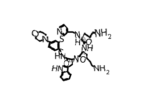 CN1C(=O)[C@H](CCCCN)NC(=O)[C@H](CCCN)NCc2cccnc2Sc2cc(N3CCOCC3)ccc2CNC(=O)[C@@H]1Cc1c[nH]c2ccccc12